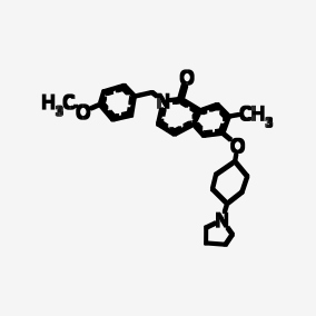 COc1ccc(Cn2ccc3cc(OC4CCC(N5CCCC5)CC4)c(C)cc3c2=O)cc1